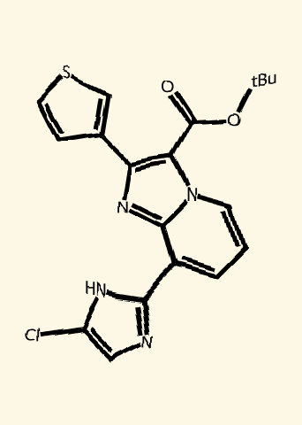 CC(C)(C)OC(=O)c1c(-c2ccsc2)nc2c(-c3ncc(Cl)[nH]3)cccn12